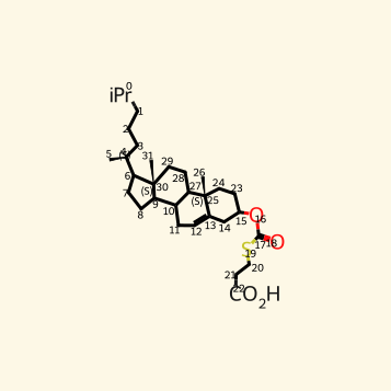 CC(C)CCC[C@H](C)C1CCC2C3CC=C4CC(OC(=O)SCCC(=O)O)CC[C@@]4(C)C3CC[C@]21C